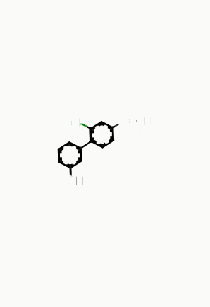 Cc1cccc(-c2ccc(C(=O)O)cc2Cl)c1